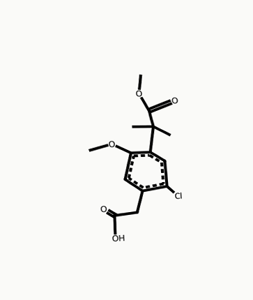 COC(=O)C(C)(C)c1cc(Cl)c(CC(=O)O)cc1OC